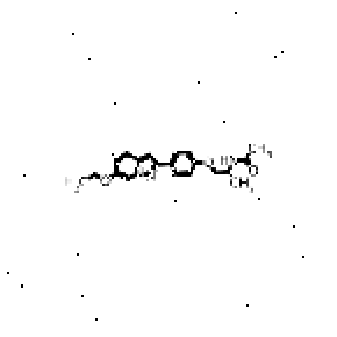 CCOc1ccc2cc(-c3ccc(OC[C@H](C)NC(C)=O)cc3)nn2c1